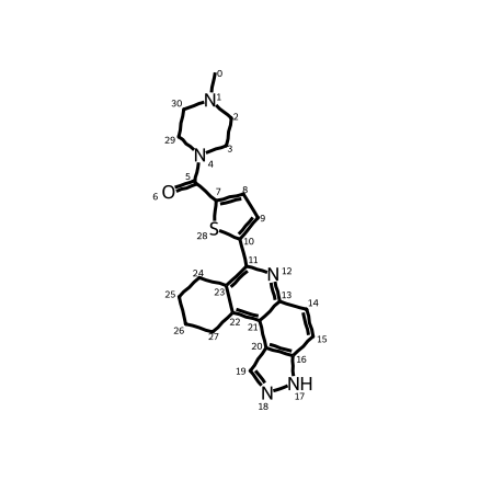 CN1CCN(C(=O)c2ccc(-c3nc4ccc5[nH]ncc5c4c4c3CCCC4)s2)CC1